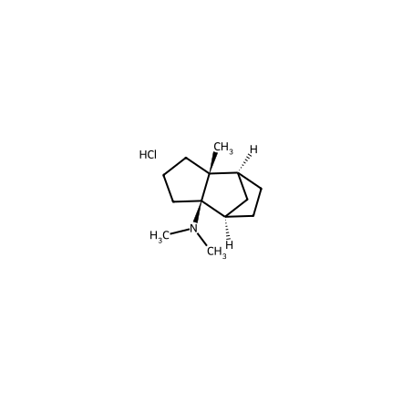 CN(C)[C@@]12CCC[C@]1(C)[C@H]1CC[C@@H]2C1.Cl